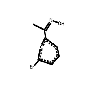 C/C(=N/O)c1cccc(Br)c1